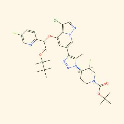 Cc1c(-c2cc(OC(CO[Si](C)(C)C(C)(C)C)c3ccc(F)cn3)c3c(Cl)cnn3c2)nnn1[C@@H]1CCN(C(=O)OC(C)(C)C)C[C@H]1F